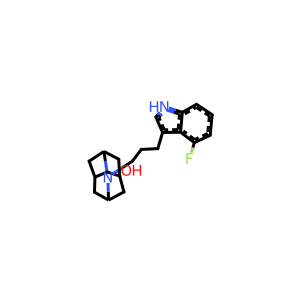 OC12CC3CC(C1)N(CCCc1c[nH]c4cccc(F)c14)C(C3)C2